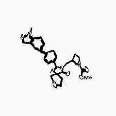 COC(=O)N1CCC(CN2C(=O)C3(CCOC3)N=C2c2ccc(-c3ccc4c(cnn4C)c3)cc2)C1